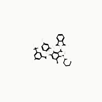 O=Cc1cc(NC(=O)c2cc(F)cc(C(F)(F)F)c2)c(Oc2cc(F)ccc2Cl)c2c(N3C(=O)c4ccccc4C3=O)nn(C3CCCCO3)c12